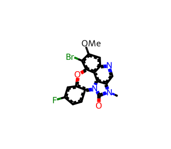 COc1cc2ncc3c4c2c(oc2cc(F)ccc2n4c(=O)n3C)c1Br